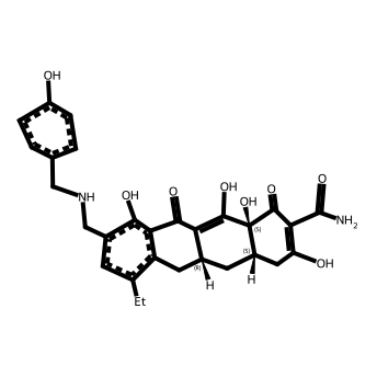 CCc1cc(CNCc2ccc(O)cc2)c(O)c2c1C[C@H]1C[C@H]3CC(O)=C(C(N)=O)C(=O)[C@@]3(O)C(O)=C1C2=O